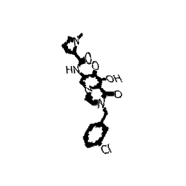 Cn1cccc1C(=O)Nc1cn2ccn(Cc3cccc(Cl)c3)c(=O)c2c(O)c1=O